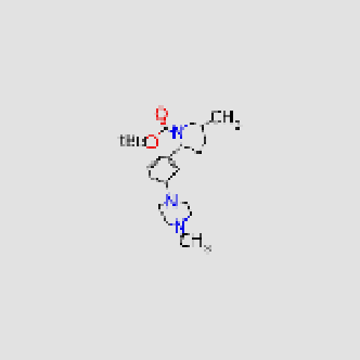 CC1CCC(c2cccc(N3CCN(C)CC3)c2)N(C(=O)OC(C)(C)C)C1